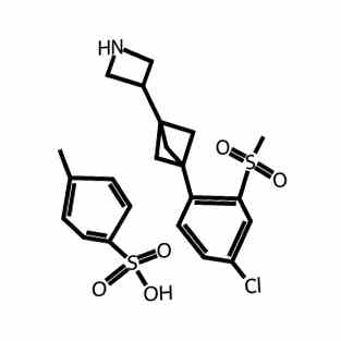 CS(=O)(=O)c1cc(Cl)ccc1C12CC(C3CNC3)(C1)C2.Cc1ccc(S(=O)(=O)O)cc1